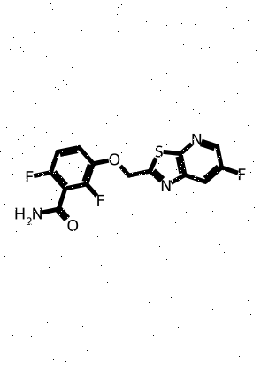 NC(=O)c1c(F)ccc(OCc2nc3cc(F)cnc3s2)c1F